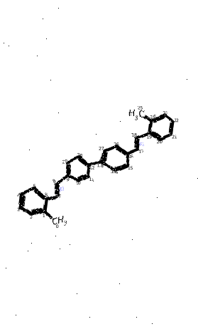 Cc1ccccc1/C=C/c1ccc(-c2ccc(/C=C/c3ccccc3C)cc2)cc1